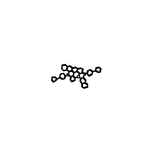 C1=Cc2cccc(N(C3=CC=C(c4ccccc4)CC3)c3cccc4c3-c3cccc5ccc(N(c6ccc(-c7ccccc7)cc6)c6ccc7ccccc7c6)c(c35)O4)c2CC1